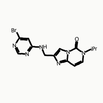 CC(C)n1ccc2nc(CNc3cc(Br)ncn3)cn2c1=O